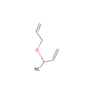 C=CCOC(C#N)C=C